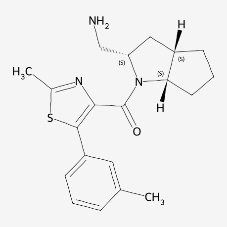 Cc1cccc(-c2sc(C)nc2C(=O)N2[C@H](CN)C[C@@H]3CCC[C@@H]32)c1